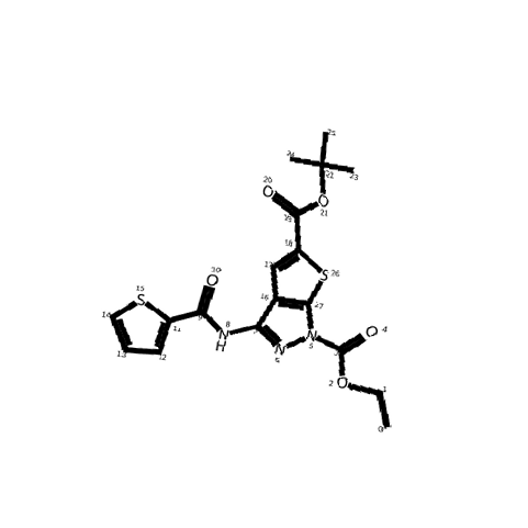 CCOC(=O)n1nc(NC(=O)c2cccs2)c2cc(C(=O)OC(C)(C)C)sc21